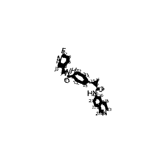 O=C(NCc1ccc(F)nc1)c1ccc([C@@H]2C[C@H]2C(=O)Nc2ccc3cnccc3c2)cc1